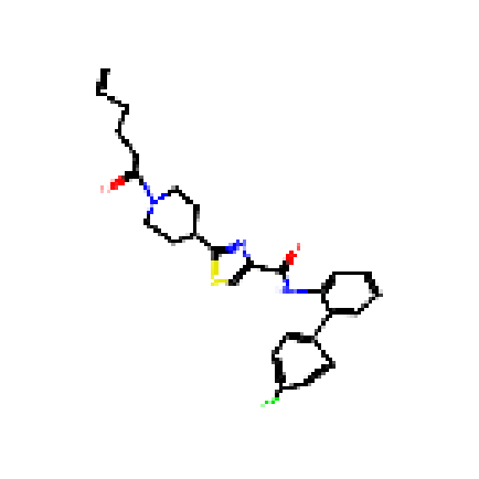 C=CCCCC(=O)N1CCC(c2nc(C(=O)Nc3ccccc3-c3ccc(Cl)cc3)cs2)CC1